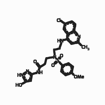 COc1ccc(S(=O)(=O)N(CCNc2cc(C)nc3ccc(Cl)cc23)CCC(=O)Nc2cc(O)[nH]n2)cc1